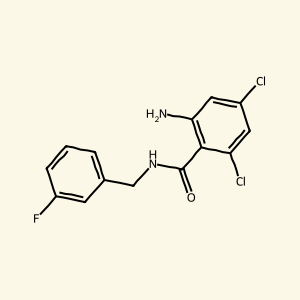 Nc1cc(Cl)cc(Cl)c1C(=O)NCc1cccc(F)c1